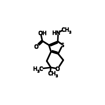 CNc1sc2c(c1C(=O)O)CC(C)(C)OC2